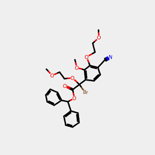 COCCOc1c(C#N)ccc(C(Br)(OCCOC)C(=O)OC(c2ccccc2)c2ccccc2)c1OC